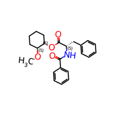 CO[C@H]1CCCC[C@@H]1OC(=O)[C@H](Cc1ccccc1)NC(=O)c1ccccc1